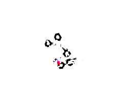 CB(c1ccccc1)c1ccccc1.CC(C)(C)c1cccc([Si](Cn2ccnc2)(c2ccccc2)c2cccc(C(C)(C)C)c2)c1